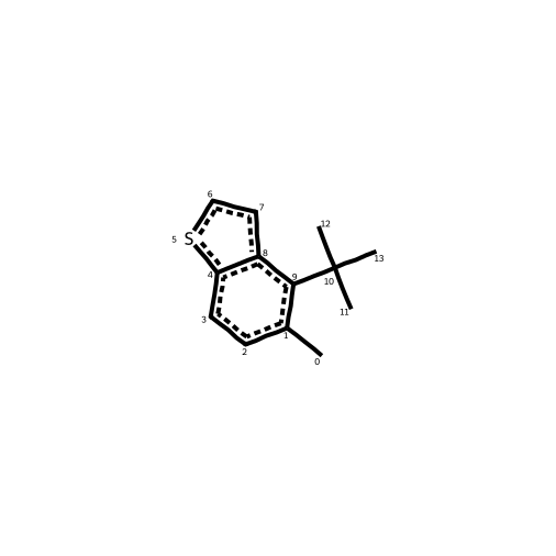 Cc1ccc2sccc2c1C(C)(C)C